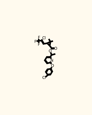 CC(OC(=O)C1C(C=C(Cl)C(F)(F)F)C1(C)C)c1cccc(Oc2ccc(Cl)cc2)n1